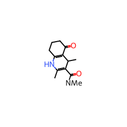 CNC(=O)C1=C(C)NC2=C(C(=O)CCC2)C1C